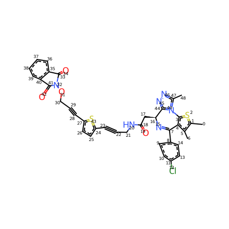 Cc1sc2c(c1C)C(c1ccc(Cl)cc1)=N[C@@H](CC(=O)NCC#Cc1ccc(C#CCON3C(=O)c4ccccc4C3=O)s1)c1nnc(C)n1-2